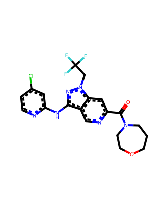 O=C(c1cc2c(cn1)c(Nc1cc(Cl)ccn1)nn2CC(F)(F)F)N1CCCOCC1